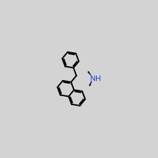 CNC.c1ccc(Cc2cccc3ccccc23)cc1